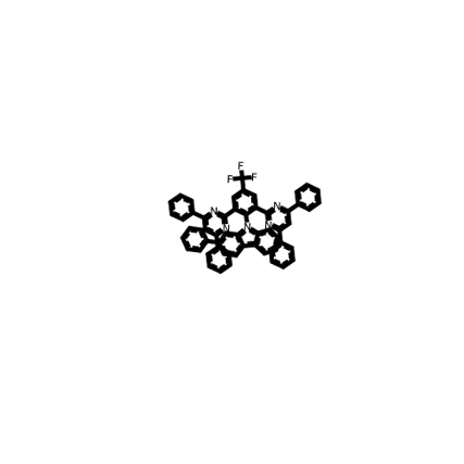 FC(F)(F)c1cc(-c2nc(-c3ccccc3)cc(-c3ccccc3)n2)c(-n2c3ccccc3c3ccc(-c4ccccc4)cc32)c(-c2nc(-c3ccccc3)cc(-c3ccccc3)n2)c1